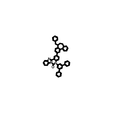 O=c1n(-c2cc(-c3ccccc3)cc(-c3ccccc3)c2)c2ccc(-c3ccc4c(c3)-c3ccccc3CCC4Cc3ccccc3)cc2c2nc3ccccc3n12